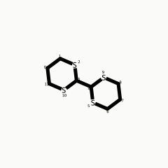 C1CSC(C2SCCCS2)SC1